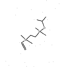 C=C[Si](C)(C)CC[Si](C)(C)OC(C)C